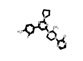 Cc1ccc(-c2cc(N3CCN(c4nccnc4Cl)C[C@H]3C)nc(N3CCCC3)n2)cc1F